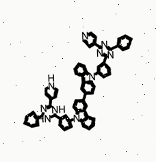 C1=CC(C2=NC(c3ccccc3)NC(c3cccc(-n4c5ccccc5c5cc(-c6ccc7c(c6)c6ccccc6n7-c6cccc(-c7nc(-c8ccccc8)nc(-c8ccncc8)n7)c6)ccc54)c3)N2)=CCN1